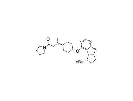 CCCC[C@H]1CCc2sc3ncnc(O[C@H]4CC[C@H](N(C)CC(=O)N5CCCC5)CC4)c3c21